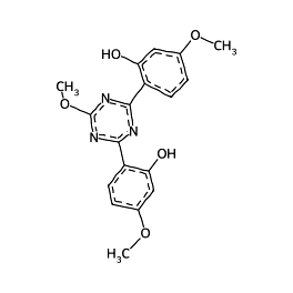 COc1ccc(-c2nc(OC)nc(-c3ccc(OC)cc3O)n2)c(O)c1